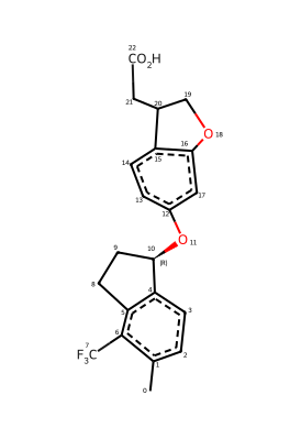 Cc1ccc2c(c1C(F)(F)F)CC[C@H]2Oc1ccc2c(c1)OCC2CC(=O)O